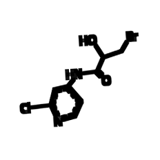 O=C(Nc1ccnc(Cl)c1)C(O)CBr